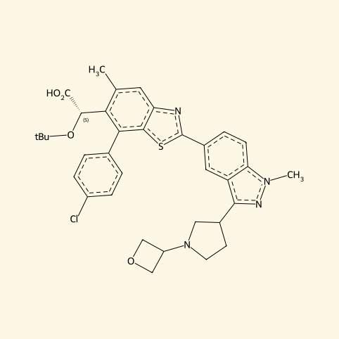 Cc1cc2nc(-c3ccc4c(c3)c(C3CCN(C5COC5)C3)nn4C)sc2c(-c2ccc(Cl)cc2)c1[C@H](OC(C)(C)C)C(=O)O